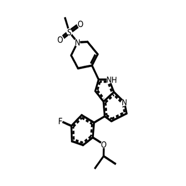 CC(C)Oc1ccc(F)cc1-c1ccnc2[nH]c(C3=CCN(S(C)(=O)=O)CC3)cc12